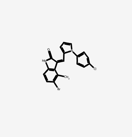 Cc1c(Br)ccc2c1C(=Cc1cccn1-c1ccc(Cl)cc1)C(=O)N2